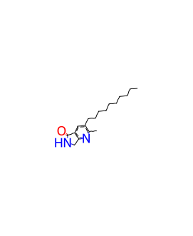 CCCCCCCCCCc1cc2c(nc1C)CNC2=O